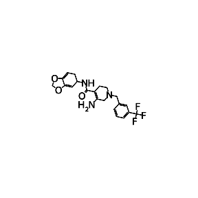 NC1=C(C(=O)NC2C=C3OCOC3=CC2)CCN(Cc2cccc(C(F)(F)F)c2)C1